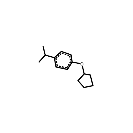 CC(C)c1ccc(OC2CCCC2)cc1